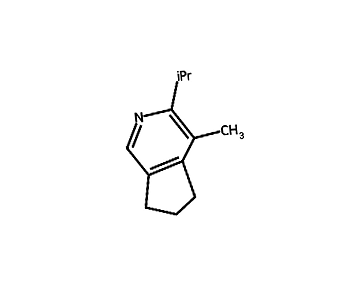 Cc1c(C(C)C)ncc2c1CCC2